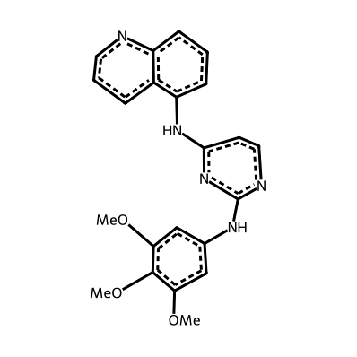 COc1cc(Nc2nccc(Nc3cccc4ncccc34)n2)cc(OC)c1OC